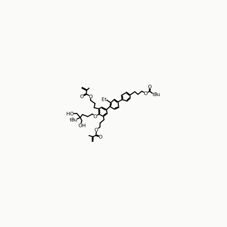 C=C(C)C(=O)OCCCc1cc(-c2ccc(-c3ccc(CCCOC(=O)C(C)(C)C)cc3)cc2CC)cc(CCCOC(=O)C(=C)C)c1OCCCC(CO)(CO)C(C)(C)C